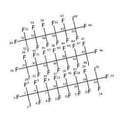 FC(F)(I)C(F)(F)C(F)(F)C(F)(F)C(F)(F)C(F)(F)C(F)(F)C(F)(F)I.FC(F)(I)C(F)(F)C(F)(F)C(F)(F)C(F)(F)C(F)(F)C(F)(F)I.FC(F)(I)C(F)(F)C(F)(F)C(F)(F)C(F)(F)C(F)(F)I